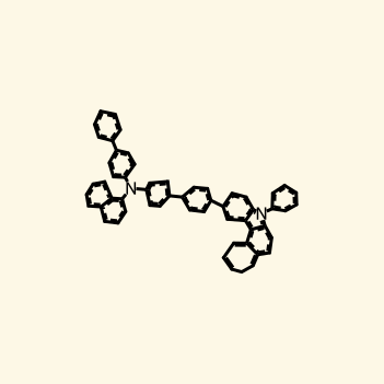 C1=CCC=c2ccc3c(c2=C1)c1cc(-c2ccc(-c4ccc(N(c5ccc(-c6ccccc6)cc5)c5cccc6ccccc56)cc4)cc2)ccc1n3-c1ccccc1